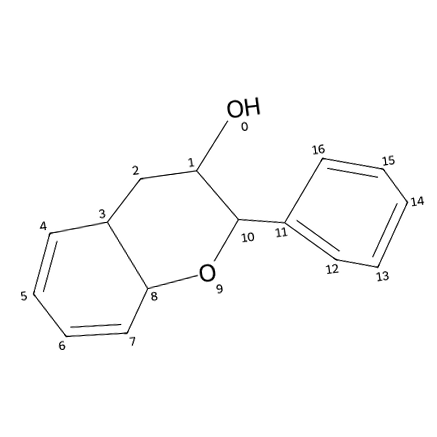 OC1CC2C=CC=CC2OC1c1ccccc1